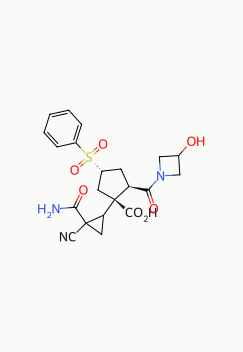 N#CC1(C(N)=O)CC1[C@]1(C(=O)O)C[C@H](S(=O)(=O)c2ccccc2)C[C@H]1C(=O)N1CC(O)C1